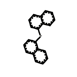 c1ccc2c([I+]c3cccc4ccccc34)cccc2c1